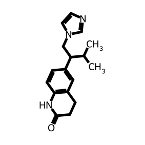 CC(C)C(Cn1ccnc1)c1ccc2c(c1)CCC(=O)N2